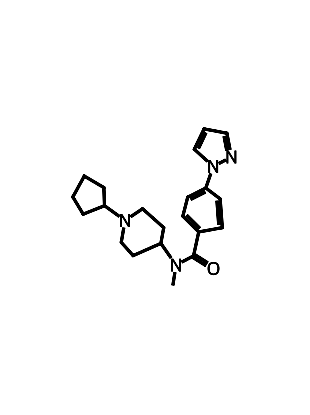 CN(C(=O)c1ccc(-n2cccn2)cc1)C1CCN(C2CCCC2)CC1